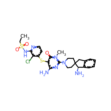 CCS(=O)(=O)Nc1nccc(Sc2c(N)nc(N3CCC4(CC3)Cc3ccccc3[C@H]4N)n(C)c2=O)c1Cl